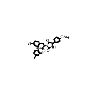 COc1ccc(C2NC(=O)N(C(Cc3ccc(Cl)cc3)C(=O)Nc3ccc(I)cc3F)C2=O)cc1